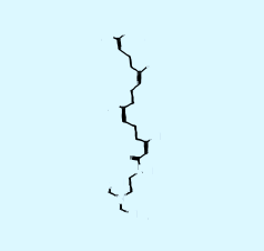 CCN(CC)CCNC(=O)C=C(C)CCC=C(C)CCC=C(C)CCC=C(C)C